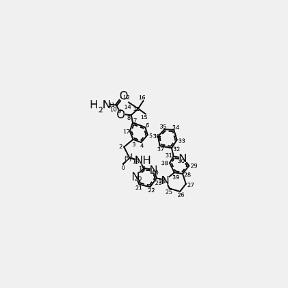 C[C@@H](Cc1cccc(C(OC(N)=O)C(C)(C)C)c1)Nc1nccc(N2CCCc3cnc(-c4ccccc4)cc32)n1